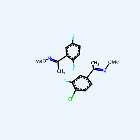 CO/N=C(\C)c1cc(F)ccc1F.CO/N=C(\C)c1ccc(Cl)c(F)c1